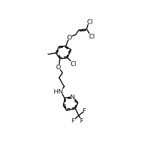 Cc1cc(OCC=C(Cl)Cl)cc(Cl)c1OCCCNc1ccc(C(F)(F)F)cn1